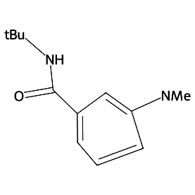 CNc1cccc(C(=O)NC(C)(C)C)c1